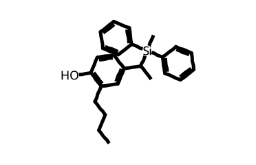 CCCCc1cc(C(C)[Si](C)(c2ccccc2)c2ccccc2)ccc1O